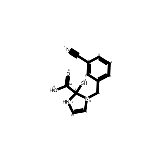 N#Cc1cccc(CN2C=CNC2(S)C(=O)O)c1